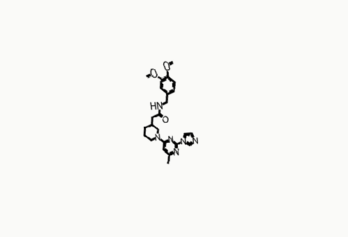 COc1ccc(CNC(=O)CC2CCCN(c3cc(C)nc(-n4ccnc4)n3)C2)cc1OC